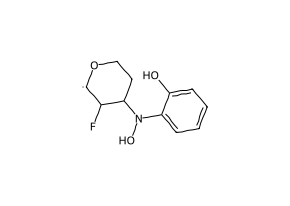 Oc1ccccc1N(O)C1CCO[CH]C1F